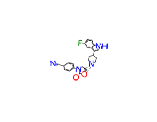 N#Cc1ccc(N2C[C@H](CN3CCC(c4c[nH]c5ccc(F)cc45)CC3)OC2=O)cc1